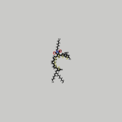 CCCCCCCCC(CCCCCC)Cc1cc(C)sc1-c1ccc(-c2ccc(-c3ccc(-c4sc(-c5cc6c(s5)-c5sc(C)cc5[Si]6(C)C)c5c4C(=O)N(CCCCCCCC)C5=O)s3)s2)s1